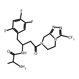 CC(N)C(=O)NC(CC(=O)N1CCn2c(nnc2C(F)(F)F)C1)Cc1cc(F)c(F)cc1F